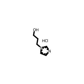 Cl.OCCCn1ccnc1